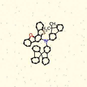 CC1(C)c2ccccc2-c2ccc(N(c3ccc4c(c3)C3(c5ccccc5-c5ccccc53)c3ccccc3-4)c3cc4c5ccccc5oc4c4c3sc3ccccc34)cc21